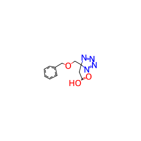 O=C(O)CC1(COCc2ccccc2)N=NN=N1